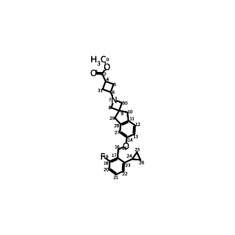 COC(=O)C1CC(N2CC3(Cc4ccc(OCc5c(F)cccc5C5CC5)cc4C3)C2)C1